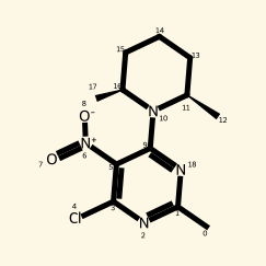 Cc1nc(Cl)c([N+](=O)[O-])c(N2[C@H](C)CCC[C@@H]2C)n1